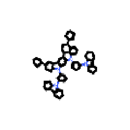 c1ccc(-c2ccc3c(c2)c2cc4c(cc2n3-c2cccc(-n3c5ccccc5c5ccccc53)c2)N(c2cccc(-n3c5ccccc5c5ccccc53)c2)c2cccc3c(-c5ccccc5)ccc-4c23)cc1